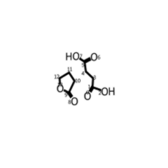 O=C(O)CCC(=O)O.O=C1CCCO1